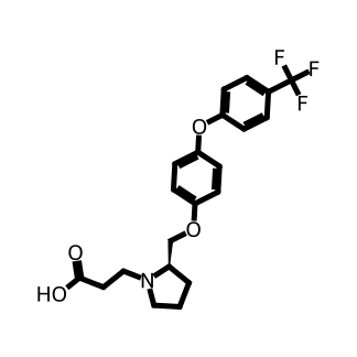 O=C(O)CCN1CCC[C@@H]1COc1ccc(Oc2ccc(C(F)(F)F)cc2)cc1